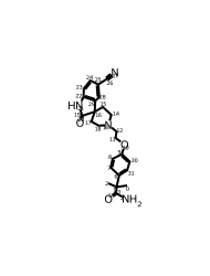 CC(C)(C(N)=O)c1ccc(OCCN2CCC3(CC2)C(=O)Nc2ccc(C#N)cc23)cc1